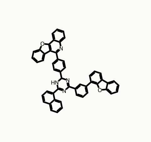 c1cc(C2=NC(c3ccc(-c4nc5ccccc5c5oc6ccccc6c45)cc3)NC(c3cccc4ccccc34)=N2)cc(-c2cccc3c2oc2ccccc23)c1